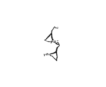 CC(=O)C1C/[N+]1=C\C1CN1